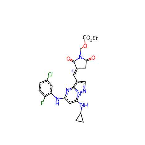 CCOC(=O)OCN1C(=O)C/C(=C\c2cnn3c(NC4CC4)cc(Nc4cc(Cl)ccc4F)nc23)C1=O